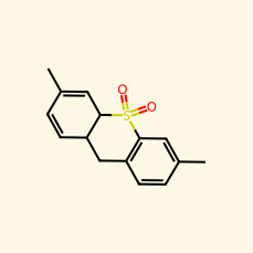 CC1=CC2C(C=C1)Cc1ccc(C)cc1S2(=O)=O